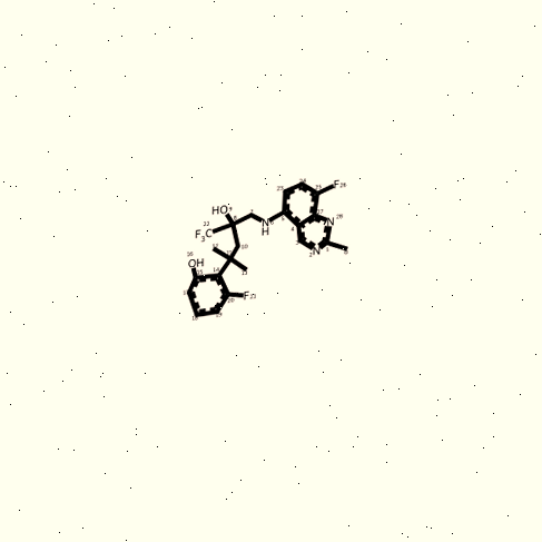 Cc1ncc2c(NCC(O)(CC(C)(C)c3c(O)cccc3F)C(F)(F)F)ccc(F)c2n1